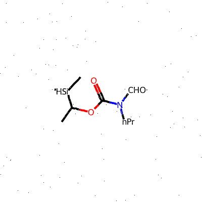 CCCN([C]=O)C(=O)OC(C)[SiH](C)C